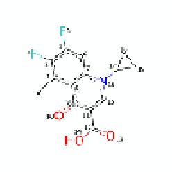 Cc1c(F)c(F)cc2c1c(=O)c(C(=O)O)cn2C1CC1